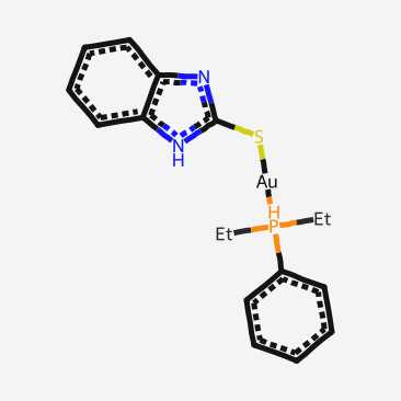 CC[PH](CC)([Au][S]c1nc2ccccc2[nH]1)c1ccccc1